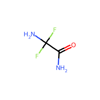 NC(=O)C(N)(F)F